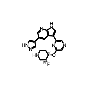 F[C@H]1CNCC[C@H]1Oc1cncc(-c2c[nH]c3ncc(-c4cn[nH]c4)cc23)n1